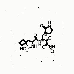 CCNC(=O)C(=O)[C@H](C[C@@H]1CCNC1=O)NC(=O)C(CC1(C)CCC1)NC(=O)O